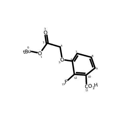 CC(C)(C)OC(=O)COc1cccc(C(=O)O)c1F